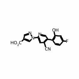 N#Cc1cc(-n2cc(C(=O)O)cn2)ncc1-c1ccc(F)cc1O